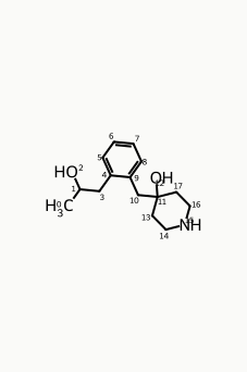 CC(O)Cc1ccccc1CC1(O)CCNCC1